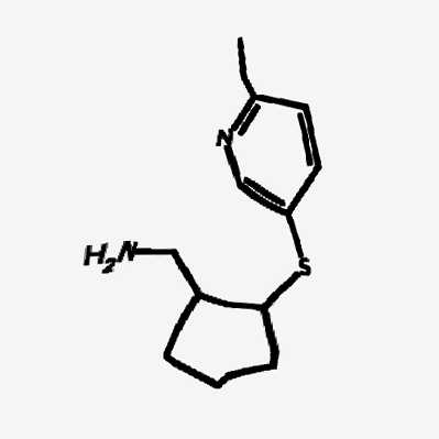 Cc1ccc(SC2CCCC2CN)cn1